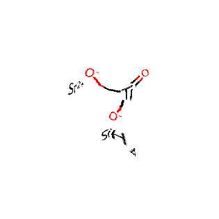 [O]=[Ti]([O-])[O-].[SiH4].[Sr+2]